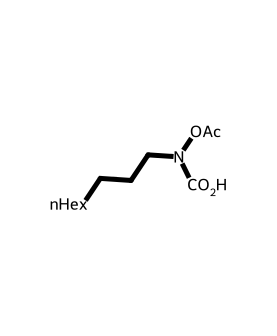 CCCCCCCCCN(OC(C)=O)C(=O)O